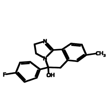 Cc1ccc2c(c1)CC(O)(c1ccc(F)cc1)N1CCN=C21